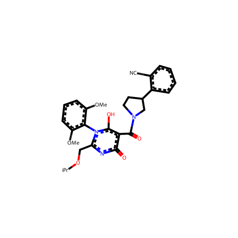 COc1cccc(OC)c1-n1c(COC(C)C)nc(=O)c(C(=O)N2CCC(c3ccccc3C#N)C2)c1O